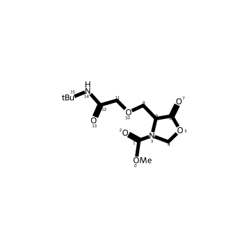 COC(=O)N1COC(=O)C1COCC(=O)NC(C)(C)C